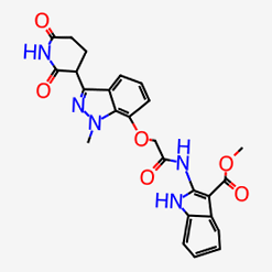 COC(=O)c1c(NC(=O)COc2cccc3c(C4CCC(=O)NC4=O)nn(C)c23)[nH]c2ccccc12